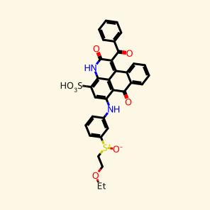 CCOCC[S+]([O-])c1cccc(Nc2cc(S(=O)(=O)O)c3[nH]c(=O)c(C(=O)c4ccccc4)c4c3c2C(=O)c2ccccc2-4)c1